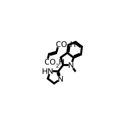 CN1c2ccccc2CC1C1=NCCN1.O=C(O)/C=C/C(=O)O